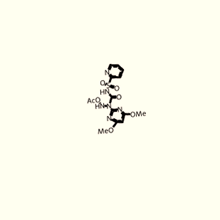 COc1cc(OC)nc(N(NOC(C)=O)C(=O)NS(=O)(=O)c2ccccn2)n1